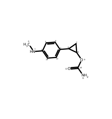 CNc1ccc(C2CC2OC(N)=O)cc1